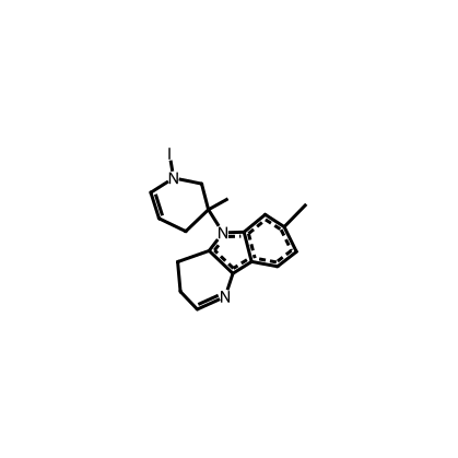 Cc1ccc2c3c(n(C4(C)CC=CN(I)C4)c2c1)CCC=N3